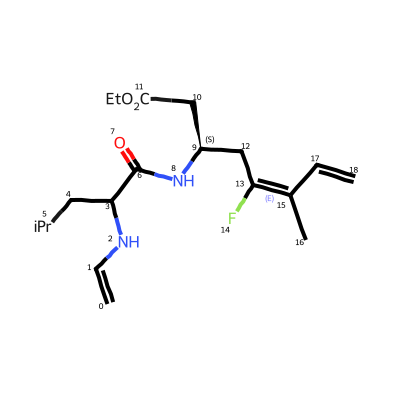 C=CNC(CC(C)C)C(=O)N[C@@H](CC(=O)OCC)C/C(F)=C(/C)C=C